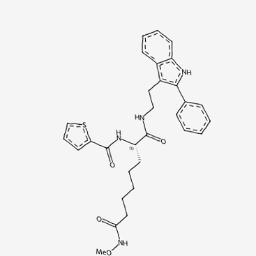 CONC(=O)CCCCC[C@H](NC(=O)c1cccs1)C(=O)NCCc1c(-c2ccccc2)[nH]c2ccccc12